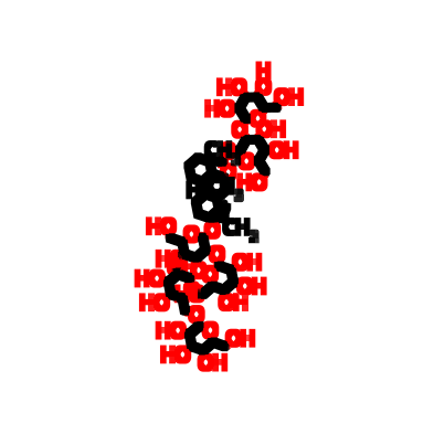 C=C1C[C@@]23CCC4[C@](C)(C(=O)OC5OC(CO)C(O)C(O)C5OC5OC(CO)C(O)C(O)C5O)CCC[C@@]4(C)[C@@H]2CC[C@]1(OC1OC(CO)C(O)C(OC2OC(COC4OC(CO)C(O)C(O)C4O)C(O)C(O)C2O)C1OC1OC(CO)C(O)C(O)C1O)C3